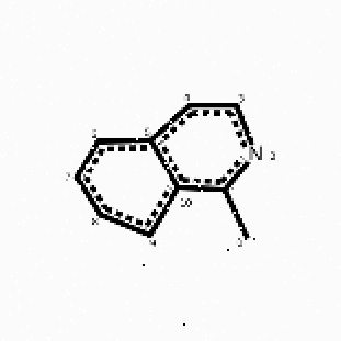 [CH2]c1nccc2ccccc12